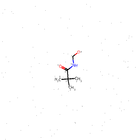 CC(C)(C)C(=O)NC[O]